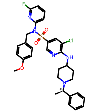 COc1ccc(CN(c2cccc(F)n2)S(=O)(=O)c2cnc(NC3CCN([C@H](C)c4ccccc4)CC3)c(Cl)c2)cc1